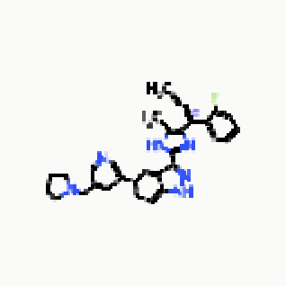 C=C/C=C(/c1ccccc1F)c1nc(-c2n[nH]c3c2=CC(c2cncc(CN4CCCC4)c2)CC=3)[nH]c1C